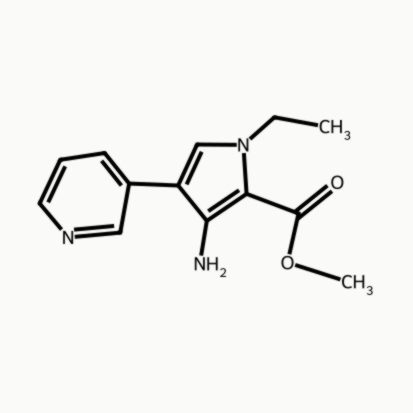 CCn1cc(-c2cccnc2)c(N)c1C(=O)OC